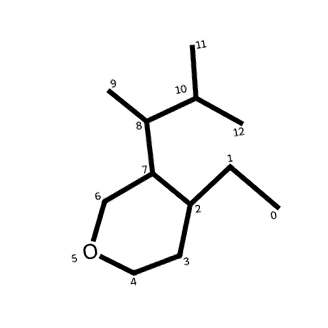 CCC1CCOCC1C(C)C(C)C